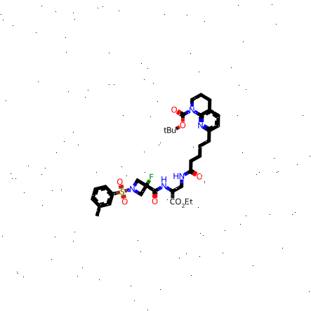 CCOC(=O)C(CNC(=O)CCCCc1ccc2c(n1)N(C(=O)OC(C)(C)C)CCC2)NC(=O)C1(F)CN(S(=O)(=O)c2cccc(C)c2)C1